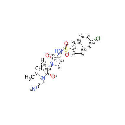 CC(C)N(CC#N)C(=O)[C@H](C)N1CC[C@H](NS(=O)(=O)c2ccc3cc(Cl)ccc3c2)C1=O